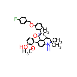 COc1c(O)ccc2c1-c1ccc3c(c1/C(=C/c1cccc(OCc4ccc(F)cc4)c1)O2)C(C)=CC(C)(C)N3